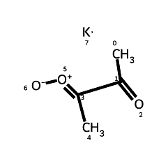 CC(=O)C(C)=[O+][O-].[K]